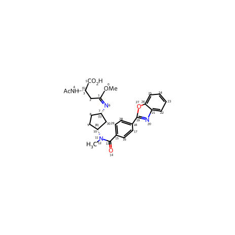 COC(C[C@H](NC(C)=O)C(=O)O)=N[C@H]1CC[C@@H](N(C)C(=O)c2ccc(-c3nc4ccccc4o3)cc2)C1